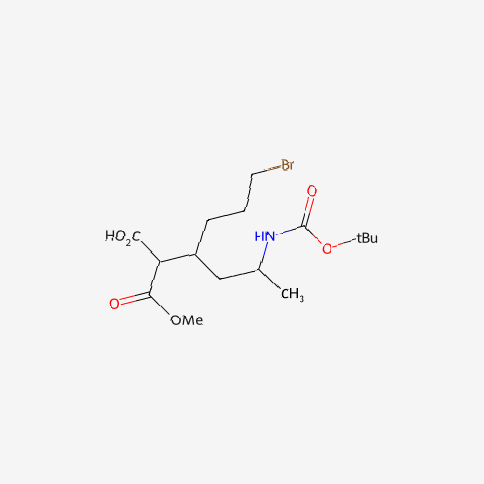 COC(=O)C(C(=O)O)C(CCCBr)CC(C)NC(=O)OC(C)(C)C